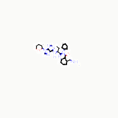 CCC(Nc1ncnc2c1ncn2C1CCCCO1)c1nc2cccc(CN)c2c(=O)n1-c1ccccc1